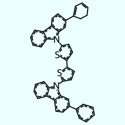 C1=CCCC(c2ccc3c4ccccc4n(-c4ccc(-c5ccc(-n6c7ccccc7c7ccc(-c8ccccc8)cc76)s5)s4)c3c2)=C1